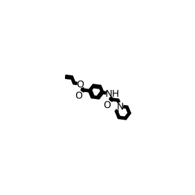 C=CCOC(=O)c1ccc(NC(=O)CN2CCCCC2)cc1